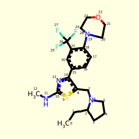 CCC1CCCN1Cc1sc(NC)nc1-c1ccc(N2CCOCC2)c(C(F)(F)F)c1